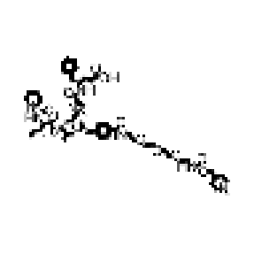 CC[C@@H](C)[C@H](NC(=O)[C@H]1CCCCN1C)C(=O)N(C)[C@H](CC(O/N=C/c1ccc(C(=O)NCCOCCOCCOCCNC(=O)OCC2CCN(C)CC2)cc1)c1nc(C(=O)N[C@@H](Cc2ccccc2)C[C@H](C)C(=O)O)cs1)C(C)C